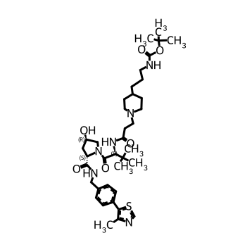 Cc1ncsc1-c1ccc(CNC(=O)[C@@H]2C[C@@H](O)CN2C(=O)[C@@H](NC(=O)CCN2CCC(CCCNC(=O)OC(C)(C)C)CC2)C(C)(C)C)cc1